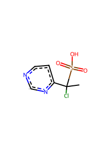 CC(Cl)(c1ccn[c]n1)S(=O)(=O)O